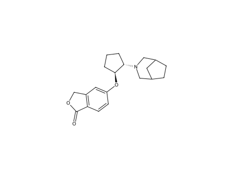 O=C1OCc2cc(O[C@H]3CCC[C@@H]3N3CC4CCC(C4)C3)ccc21